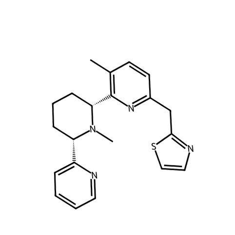 Cc1ccc(Cc2nccs2)nc1[C@H]1CCC[C@@H](c2ccccn2)N1C